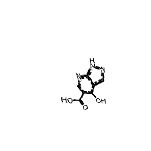 O=C(O)c1cnc2[nH]ncc2c1O